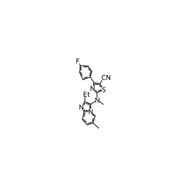 CCc1nc2ccc(C)cn2c1N(C)c1nc(-c2ccc(F)cc2)c(C#N)s1